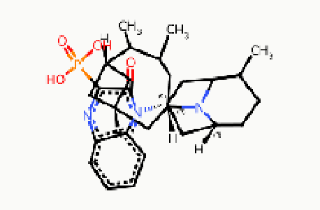 CC1CC[C@@H]2C[C@H](n3c(=O)c(P(=O)(O)O)nc4ccccc43)CC1N2[C@H]1CC(C)C(C)[C@H]2C[C@@H](C1)C2